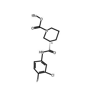 CC(C)(C)OC(=O)N1CCC[C@H](C(=O)Nc2ccc(F)c(Cl)c2)C1